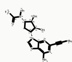 CCCCC#Cc1nc(N)c2ncn([C@@H]3C[C@H](N(CCC)C(=O)C(F)(F)F)[C@@H](O)[C@H]3O)c2n1